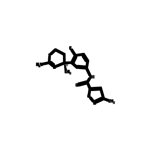 Cc1cc(C(=O)Nc2ccc(F)c([C@]3(C)CCSC(N)=N3)c2)on1